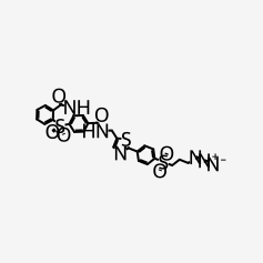 [N-]=[N+]=NCCCS(=O)(=O)c1ccc(-c2ncc(CNC(=O)c3ccc4c(c3)NC(=O)c3ccccc3S4(=O)=O)s2)cc1